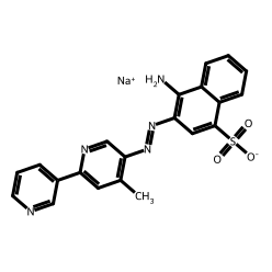 Cc1cc(-c2cccnc2)ncc1N=Nc1cc(S(=O)(=O)[O-])c2ccccc2c1N.[Na+]